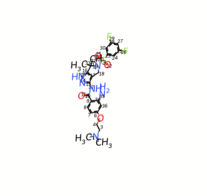 CN(C)CCOc1ccc(C(=O)Nc2n[nH]c3c2CN(S(=O)(=O)c2cc(F)cc(F)c2)C3(C)C)c(N)c1